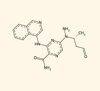 C[C@H](CC=O)N(N)c1cnc(C(N)=O)c(Nc2cncc3ccccc23)n1